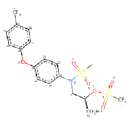 CS(=O)(=O)N(C[C@@H](OS(=O)(=O)C(F)(F)F)C(=O)O)c1ccc(Oc2ccc(C(F)(F)F)cc2)cc1